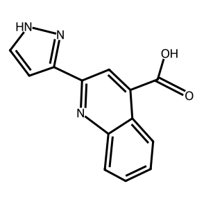 O=C(O)c1cc(-c2cc[nH]n2)nc2ccccc12